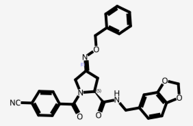 N#Cc1ccc(C(=O)N2C/C(=N/OCc3ccccc3)C[C@H]2C(=O)NCc2ccc3c(c2)OCO3)cc1